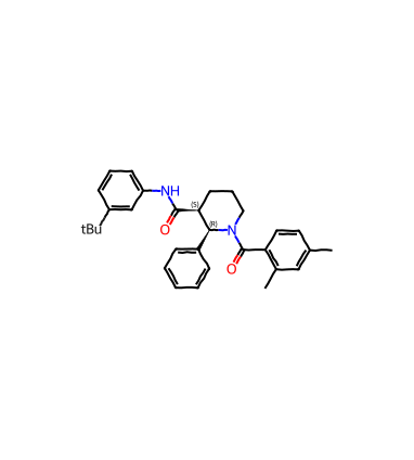 Cc1ccc(C(=O)N2CCC[C@H](C(=O)Nc3cccc(C(C)(C)C)c3)[C@@H]2c2ccccc2)c(C)c1